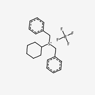 F[B-](F)(F)F.c1ccc(C[S+](Cc2ccccc2)C2CCCCC2)cc1